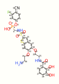 N#Cc1ccc(OP(=O)(O)CNS(=O)(=O)c2cc3cc(OCCNC(=O)c4cccc(O)c4O)c(OCCN)cc3s2)cc1F